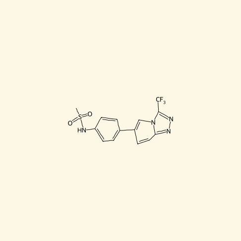 CS(=O)(=O)Nc1ccc(-c2ccc3nnc(C(F)(F)F)n3c2)cc1